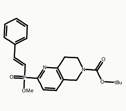 COP(=O)(/C=C/c1ccccc1)c1ccc2c(n1)CCN(C(=O)OC(C)(C)C)C2